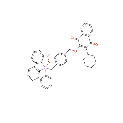 O=C1C(OCc2ccc(CP(SBr)(c3ccccc3)(c3ccccc3)c3ccccc3)cc2)=C(C2CCCCC2)C(=O)c2ccccc21